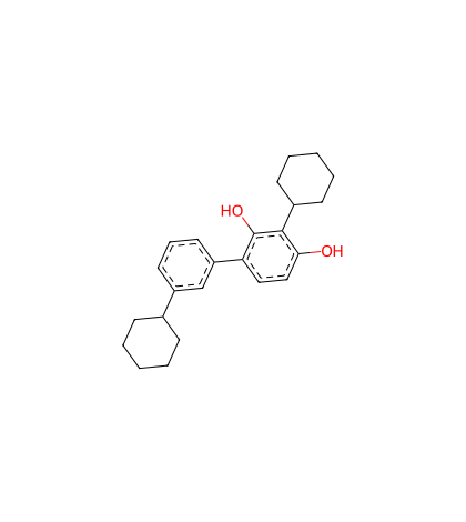 Oc1ccc(-c2cccc(C3CCCCC3)c2)c(O)c1C1CCCCC1